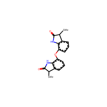 CSC1C(=O)Nc2c(Oc3cccc4c3NC(=O)C4SC)cccc21